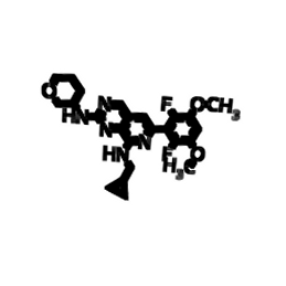 COc1cc(OC)c(F)c(-c2cc3cnc(NC4CCCOC4)nc3c(NCC3CC3)n2)c1F